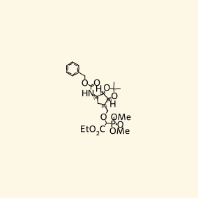 CCOC(=O)C(OC[C@H]1C[C@@H](NC(=O)OCc2ccccc2)[C@@H]2OC(C)(C)O[C@H]12)P(=O)(OC)OC